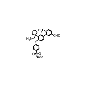 CNS(=O)(=O)c1ccc(Cc2ccc(-c3cc(C=O)ccc3C)cc2C2(CN)CCCC2)cc1